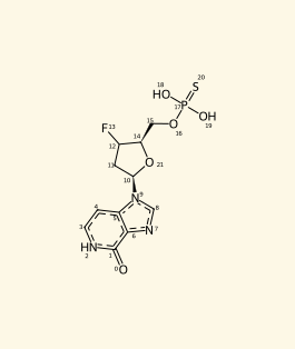 O=c1[nH]ccc2c1ncn2[C@H]1CC(F)[C@@H](COP(O)(O)=S)O1